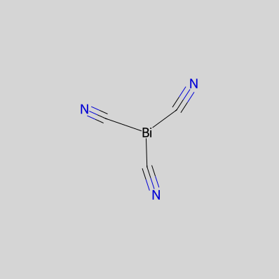 N#[C][Bi]([C]#N)[C]#N